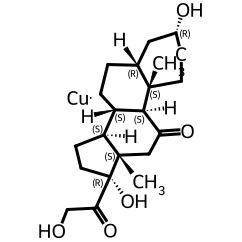 C[C@]12CC[C@@H](O)C[C@H]1CC[C@@H]1[C@@H]2C(=O)C[C@@]2(C)[C@H]1CC[C@]2(O)C(=O)CO.[Cu]